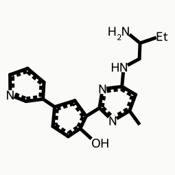 CCC(N)CNc1cc(C)nc(-c2cc(-c3cccnc3)ccc2O)n1